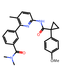 COc1ccc(C2(C(=O)Nc3ccc(C)c(-c4cccc(C(=O)N(C)C)c4)n3)CC2)cc1